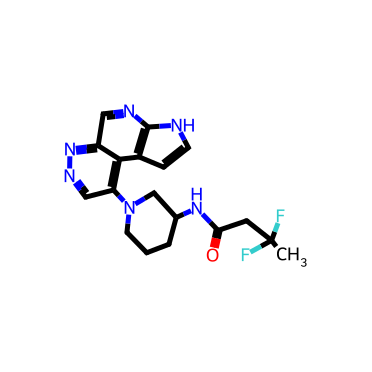 CC(F)(F)CC(=O)NC1CCCN(c2cnnc3cnc4[nH]ccc4c23)C1